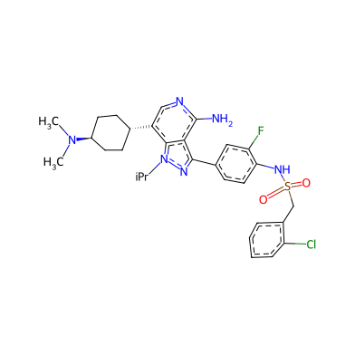 CC(C)n1nc(-c2ccc(NS(=O)(=O)Cc3ccccc3Cl)c(F)c2)c2c(N)ncc([C@H]3CC[C@H](N(C)C)CC3)c21